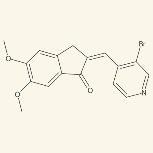 COc1cc2c(cc1OC)C(=O)C(=Cc1ccncc1Br)C2